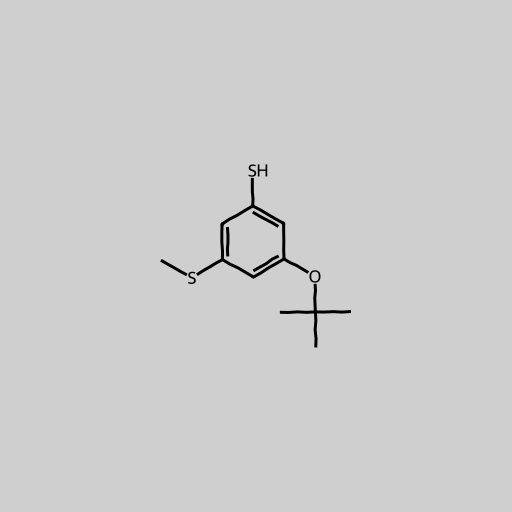 CSc1cc(S)cc(OC(C)(C)C)c1